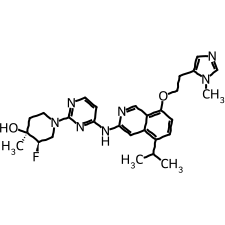 CC(C)c1ccc(OCCc2cncn2C)c2cnc(Nc3ccnc(N4CC[C@](C)(O)[C@H](F)C4)n3)cc12